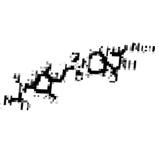 CCCCCCCCCC1=NC2(CCN(S(=O)(=O)CCc3c(C)cc(N(C)C(N)=O)cc3C)CC2)C(=O)N1